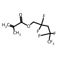 C=C(C)C(=O)OCC(F)(F)CC(F)(F)C(F)(F)F